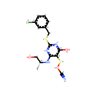 C[C@H](CO)Nc1nc(SCc2cccc(Cl)c2)nc(O)c1SOC#N